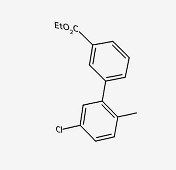 CCOC(=O)c1cccc(-c2cc(Cl)ccc2C)c1